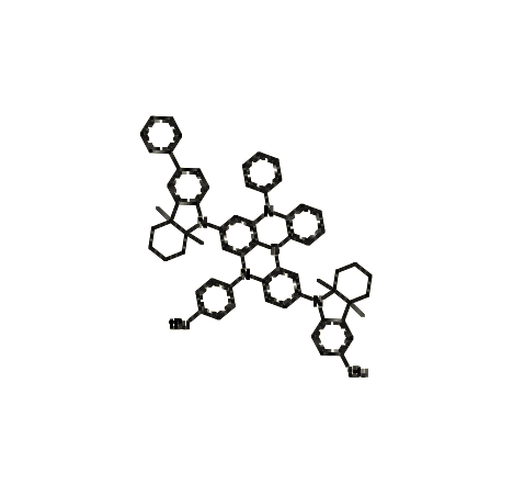 CC(C)(C)c1ccc(N2c3ccc(N4c5ccc(C(C)(C)C)cc5C5(C)CCCCC45C)cc3B3c4ccccc4N(c4ccccc4)c4cc(N5c6ccc(-c7ccccc7)cc6C6(C)CCCCC56C)cc2c43)cc1